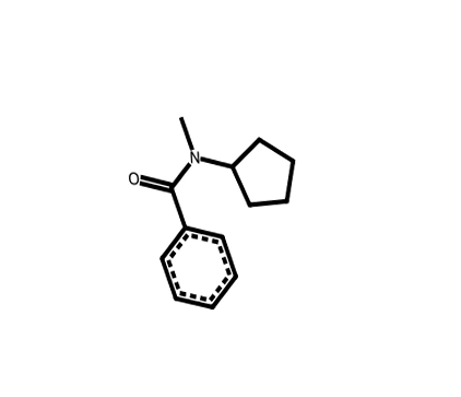 CN(C(=O)c1ccccc1)C1CCCC1